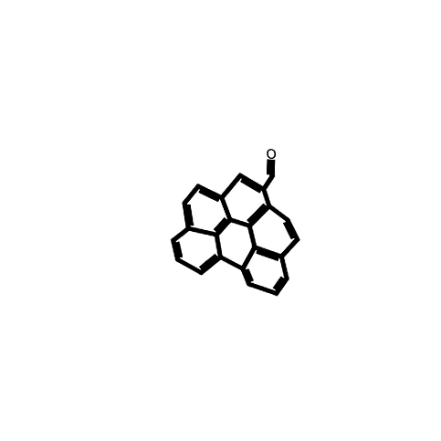 O=Cc1cc2ccc3cccc4c5cccc6ccc1c(c65)c2c34